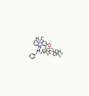 CSc1c(OC(=O)CC(C)(C)C)cc(C)c2c3ccccc3n(CCCc3ccccc3)c12